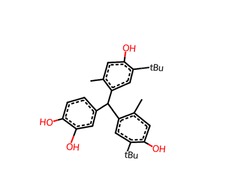 Cc1cc(O)c(C(C)(C)C)cc1C(c1ccc(O)c(O)c1)c1cc(C(C)(C)C)c(O)cc1C